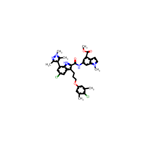 COC(=O)c1cc(NC(=O)c2[nH]c3c(-c4c(C)nn(C)c4C)cc(Cl)cc3c2CCCOc2cc(C)c(Cl)c(C)c2)cc2c1ccn2C